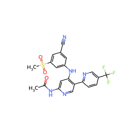 CC(=O)Nc1cc(Nc2cc(C#N)cc(S(C)(=O)=O)c2)c(-c2ccc(C(F)(F)F)cn2)cn1